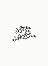 COCOc1c(OC)c(C)cc2c1[C@@H]1C3Cc4c(OC(C)=O)c(C)c5c(c4[C@H](CNC(C)=O)N3[C@@H](C#N)C3C2N31)OCO5